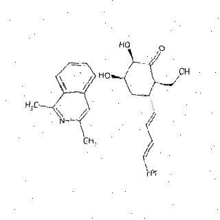 CCC/C=C/C=C/[C@@H]1C[C@@H](O)[C@@H](O)C(=O)[C@H]1CO.Cc1cc2ccccc2c(C)n1